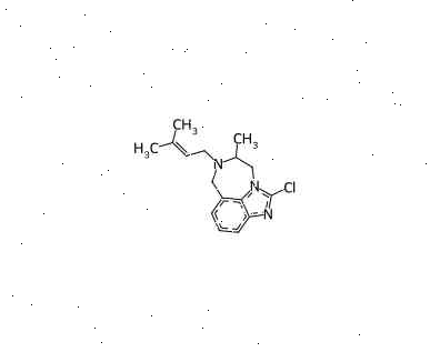 CC(C)=CCN1Cc2cccc3nc(Cl)n(c23)CC1C